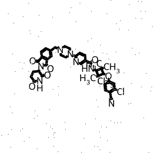 CC1(C)C(NC(=O)c2ccc(N3CCN(Cc4ccc5c(c4)C(=O)N(C4CCC(=O)NC4=O)C5=O)CC3)nc2)C(C)(C)C1Oc1ccc(C#N)c(Cl)c1